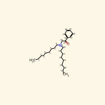 CCCCCCCCCN(CCCCCCCCC)CC(=O)c1ccccc1